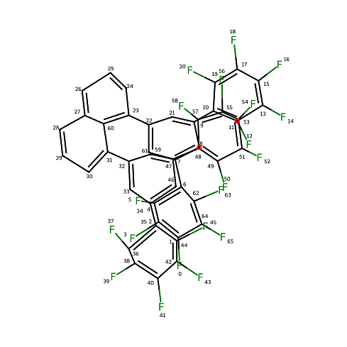 Fc1c(F)c(F)c(-c2cc(-c3c(F)c(F)c(F)c(F)c3F)cc(-c3cccc4cccc(-c5cc(-c6c(F)c(F)c(F)c(F)c6F)cc(-c6c(F)c(F)c(F)c(F)c6F)c5)c34)c2)c(F)c1F